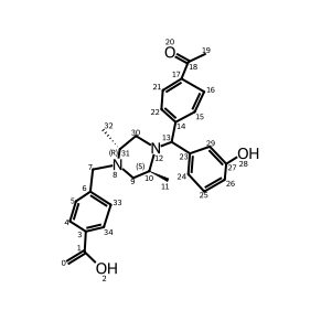 C=C(O)c1ccc(CN2C[C@H](C)N(C(c3ccc(C(C)=O)cc3)c3cccc(O)c3)C[C@H]2C)cc1